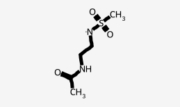 CC(=O)NCC[N]S(C)(=O)=O